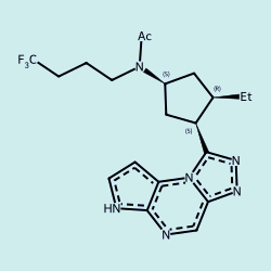 CC[C@@H]1C[C@H](N(CCCC(F)(F)F)C(C)=O)C[C@@H]1c1nnc2cnc3[nH]ccc3n12